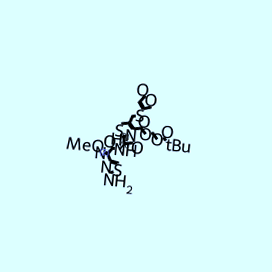 CO/N=C(\C(=O)N[C@@H]1C(=O)N2C(C(=O)OCOC(=O)C(C)(C)C)=C(CSC3=CC(=O)OC3)CS[C@H]12)c1csc(N)n1